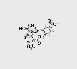 CC(C)=C(C(=O)OCc1ccc([N+](=O)[O-])cc1)N1C(=O)[C@H]([C@@H](C)O)[C@H]1[S]